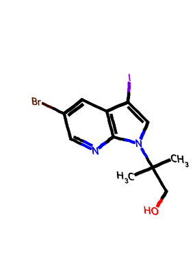 CC(C)(CO)n1cc(I)c2cc(Br)cnc21